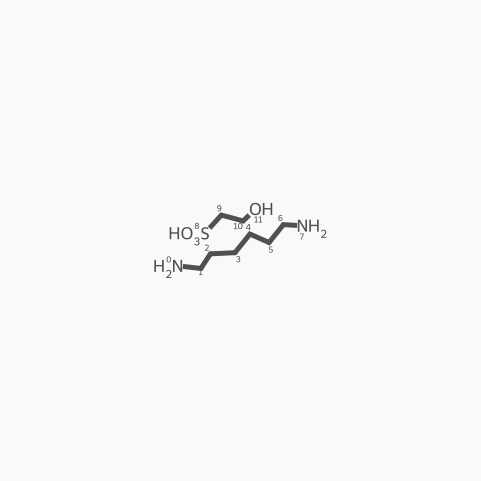 NCCCCCCN.O=S(=O)(O)CCO